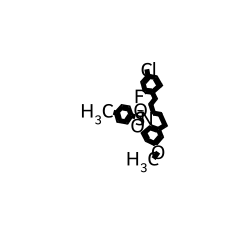 COc1ccc2c(c1)CCC(CCc1ccc(Cl)cc1F)N2S(=O)(=O)c1ccc(C)cc1